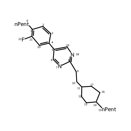 CCCCCc1ccc(-c2cnc(CCC3CCC(CCCCC)CC3)nc2)cc1F